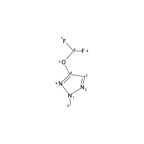 Cn1n[c]c(OC(F)F)n1